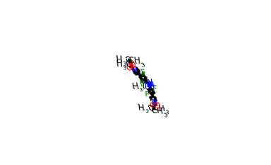 Cn1c(-c2cc(F)c(C3=CCN(C(=O)OC(C)(C)C)CC3)cc2F)nnc1-c1cc(F)c(C2=CCN(C(=O)OC(C)(C)C)CC2)cc1F